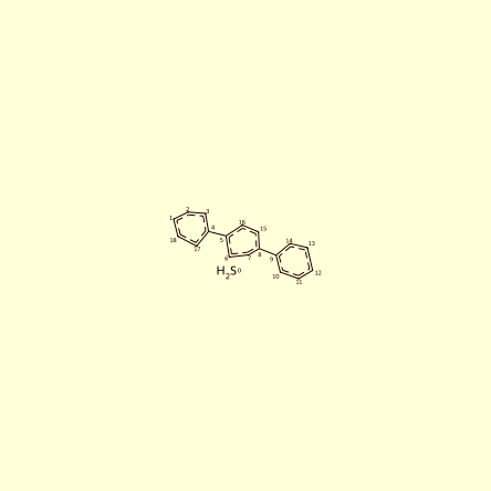 S.c1ccc(-c2ccc(-c3ccccc3)cc2)cc1